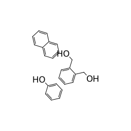 OCc1ccccc1CO.Oc1ccccc1.c1ccc2ccccc2c1